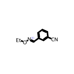 CCO/N=[C]/c1cccc(C#N)c1